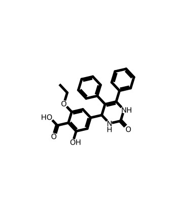 CCOc1cc(C2NC(=O)NC(c3ccccc3)=C2c2ccccc2)cc(O)c1C(=O)O